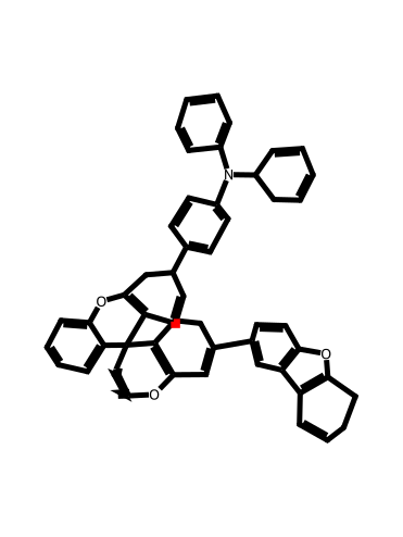 C1=CCC(N(c2ccccc2)c2ccc(C3C=CC4=C(C3)Oc3ccccc3C43C4=CCCC=C4OC4=C3CCC(c3ccc5oc6c(c5c3)C=CCC6)=C4)cc2)C=C1